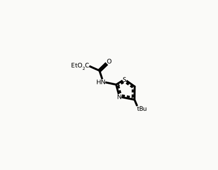 CCOC(=O)C(=O)Nc1nc(C(C)(C)C)cs1